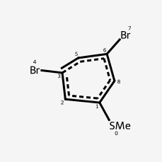 CSc1cc(Br)cc(Br)c1